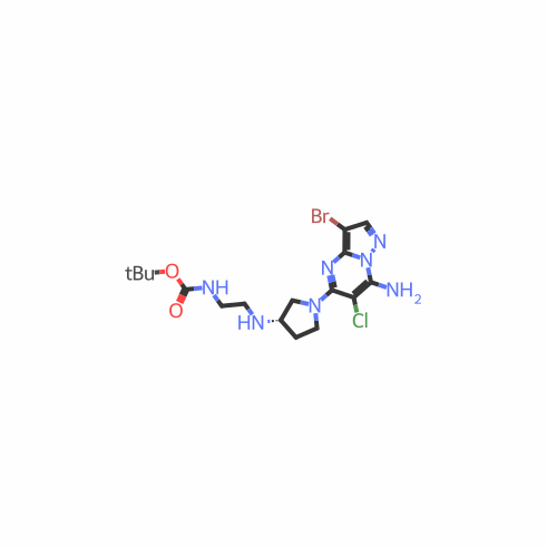 CC(C)(C)OC(=O)NCCN[C@H]1CCN(c2nc3c(Br)cnn3c(N)c2Cl)C1